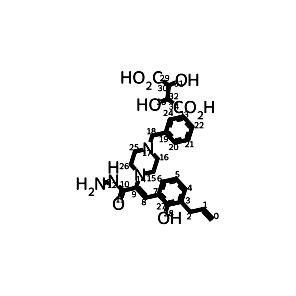 C=CCc1cccc(C=C(C(=O)NN)N2CCN(Cc3ccccc3)CC2)c1O.O=C(O)C(O)C(O)C(=O)O